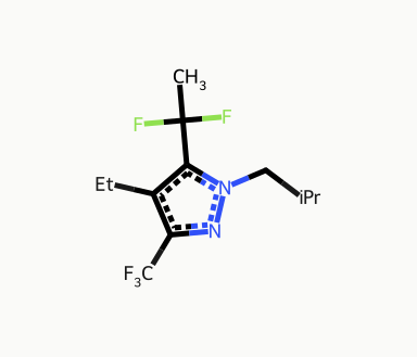 CCc1c(C(F)(F)F)nn(CC(C)C)c1C(C)(F)F